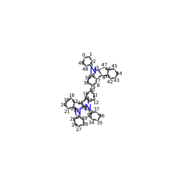 c1ccc(-n2c3c(c4cc(-c5ccc6c(c5)c5c7ccccc7n(-c7ccccc7)c5n6-c5ccccc5)ccc42)-c2ccccc2C3)cc1